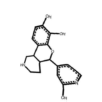 Oc1cc(C2Oc3c(ccc(O)c3O)C3CNCCC32)ccn1